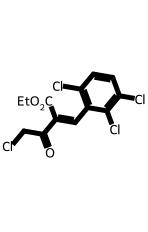 CCOC(=O)C(=Cc1c(Cl)ccc(Cl)c1Cl)C(=O)CCl